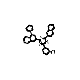 Clc1cccc(-c2nc(-c3ccc4ccccc4c3)nc(-c3cc(-c4ccccc4)c4ccccc4c3)n2)c1